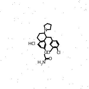 Cl.NC(=O)COc1ccc2c(c1)C(Cc1ccc(Cl)c(Cl)c1)C(N1CCCC1)CC2